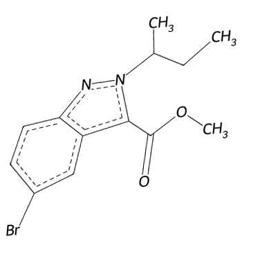 CCC(C)n1nc2ccc(Br)cc2c1C(=O)OC